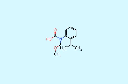 COCN(C(=O)O)c1ccccc1C(C)C